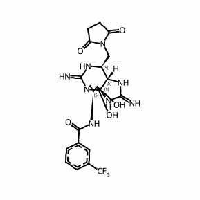 N=C1N[C@H]2[C@H](CN3C(=O)CCC3=O)NC(=N)N3C[C@H](NC(=O)c4cccc(C(F)(F)F)c4)C(O)(O)[C@]23N1